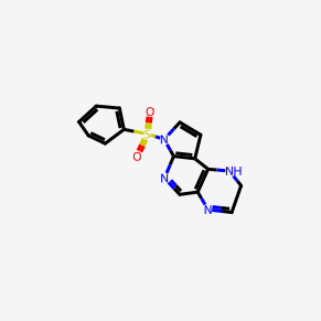 O=S(=O)(c1ccccc1)n1ccc2c3c(cnc21)N=CCN3